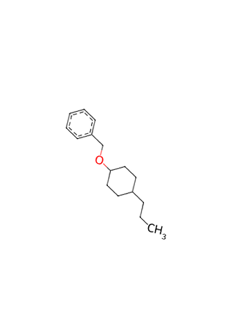 CCCC1CCC(OCc2ccccc2)CC1